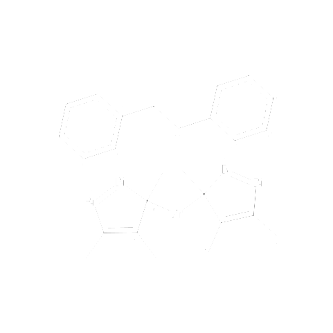 C[C]1=C(C)[C](C)([Zr][C]2(C)[Bi]=[Bi][C](C)=C2C)[Bi]=[Bi]1.c1ccc(CCc2ccccc2)cc1